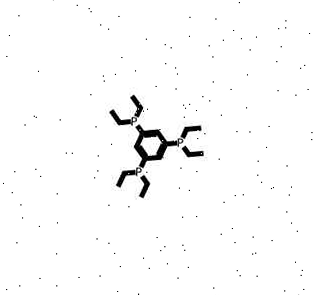 CCP(CC)c1[c]c(P(CC)CC)cc(P(CC)CC)c1